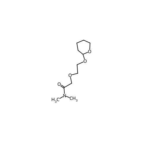 CN(C)C(=O)COCCOC1CCCCO1